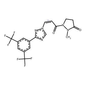 CN1C(=O)CCN1C(=O)/C=C\n1cnc(-c2cc(C(F)(F)F)cc(C(F)(F)F)c2)n1